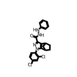 O=C(NNc1ccccc1)c1nn(-c2ccc(Cl)cc2Cl)c2c1C1CCC2C1